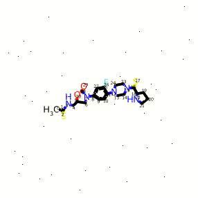 CC(=S)NCC1CN(c2ccc(N3CCN(C(=S)C4CCCN4)CC3)c(F)c2)C(=O)O1